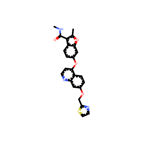 CNC(=O)c1c(C)oc2cc(Oc3ccnc4cc(OCc5nccs5)ccc34)ccc12